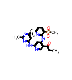 CCC(=O)c1cnc(Nc2cc(C)nc(C)n2)cc1Nc1ncccc1S(C)(=O)=O